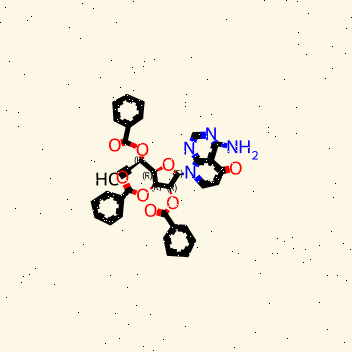 C#C[C@@H](OC(=O)c1ccccc1)[C@H]1O[C@H](n2ccc(=O)c3c(N)ncnc32)[C@H](OC(=O)c2ccccc2)[C@@H]1OC(=O)c1ccccc1